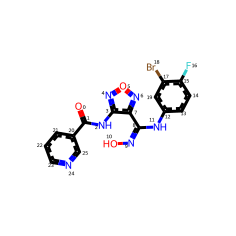 O=C(Nc1nonc1/C(=N\O)Nc1ccc(F)c(Br)c1)c1cccnc1